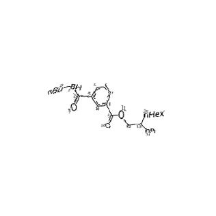 CCCCBC(=O)c1cccc(C(=O)OCC(CCC)CCCCCC)c1